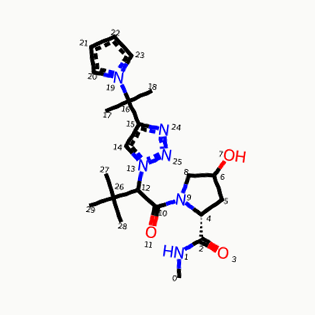 CNC(=O)[C@H]1CC(O)CN1C(=O)C(n1cc(C(C)(C)n2cccc2)nn1)C(C)(C)C